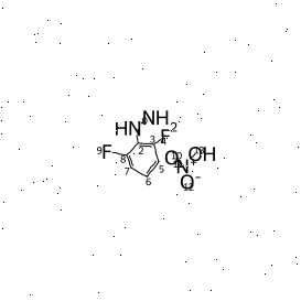 NNc1c(F)cccc1F.O=[N+]([O-])O